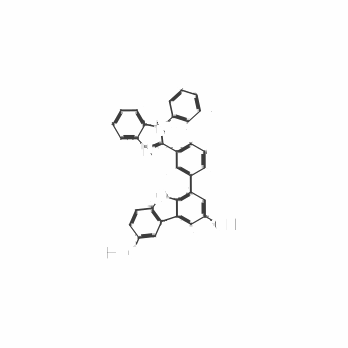 Cc1ccc2oc3c(-c4cccc(-c5nc6ccccc6n5-c5ccccc5)c4)cc(C)cc3c2c1